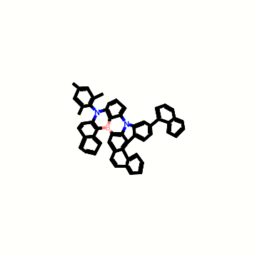 Cc1cc(C)c(N2c3cccc4c3B(c3c2ccc2ccccc32)c2cc3ccc5ccccc5c3c3c5ccc(-c6cccc7ccccc67)cc5n-4c23)c(C)c1